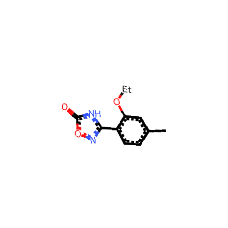 CCOc1cc(C)ccc1-c1noc(=O)[nH]1